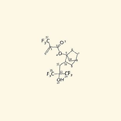 C=C(C(=O)OC12CCC(CC1CC(O)(C(F)(F)F)C(F)(F)F)C2)C(F)(F)F